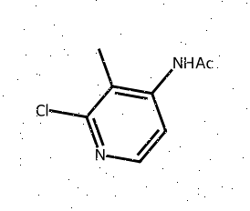 CC(=O)Nc1ccnc(Cl)c1C